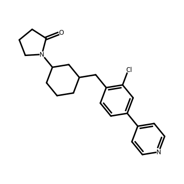 O=C1CCCN1C1CCCC(Cc2ccc(-c3ccncc3)cc2Cl)C1